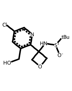 CC(C)(C)[S+]([O-])NC1(c2ncc(Cl)cc2CO)COC1